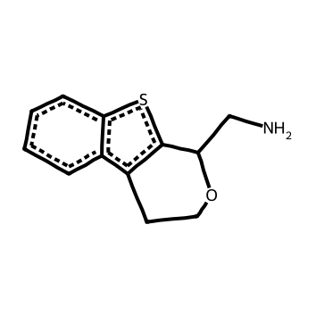 NCC1OCCc2c1sc1ccccc21